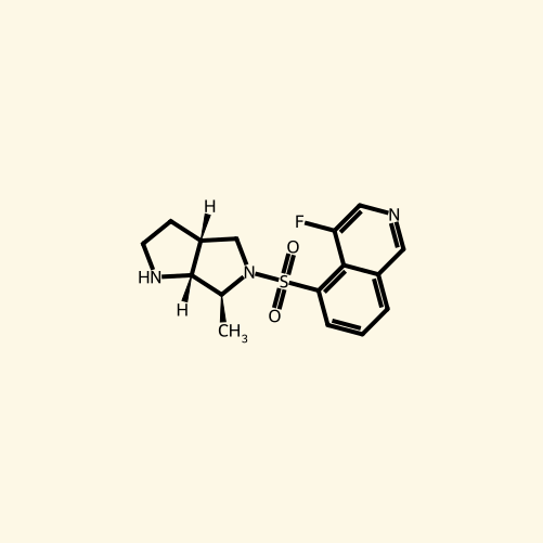 C[C@H]1[C@@H]2NCC[C@@H]2CN1S(=O)(=O)c1cccc2cncc(F)c12